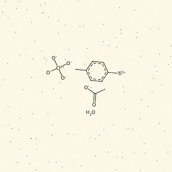 CC(=O)[O-].Cc1cc[c]([Tl+2])cc1.O.[O-][Cl+3]([O-])([O-])[O-]